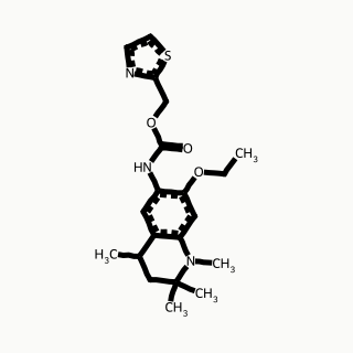 CCOc1cc2c(cc1NC(=O)OCc1nccs1)C(C)CC(C)(C)N2C